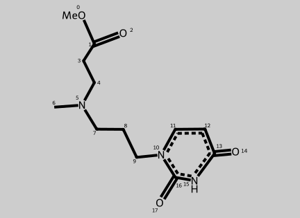 COC(=O)CCN(C)CCCn1ccc(=O)[nH]c1=O